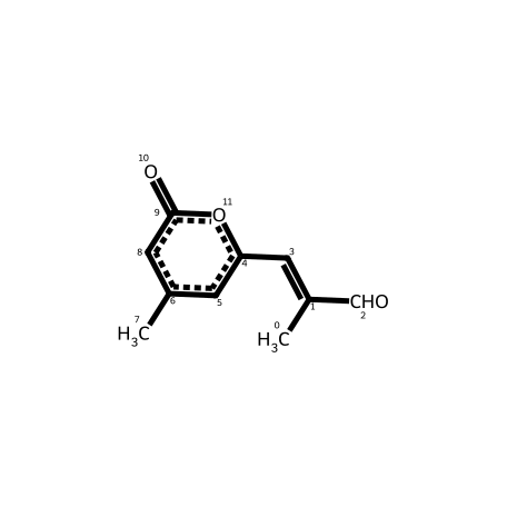 CC(C=O)=Cc1cc(C)cc(=O)o1